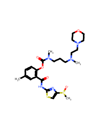 Cc1ccc(OC(=O)N(C)CCCN(C)CCN2CCOCC2)c(C(=O)Nc2nc([S+](C)[O-])cs2)c1